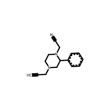 C#CCN1CCN(CC#N)C(c2ccccc2)C1